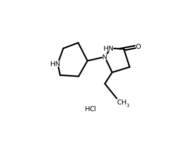 CCC1CC(=O)NN1C1CCNCC1.Cl